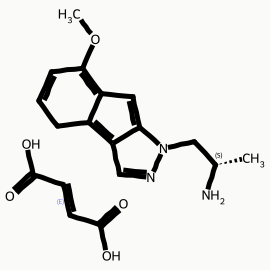 COC1=C2C=c3c(cnn3C[C@H](C)N)=C2CC=C1.O=C(O)/C=C/C(=O)O